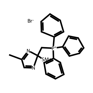 CSC1(C[P+](c2ccccc2)(c2ccccc2)c2ccccc2)N=CC(C)=N1.[Br-]